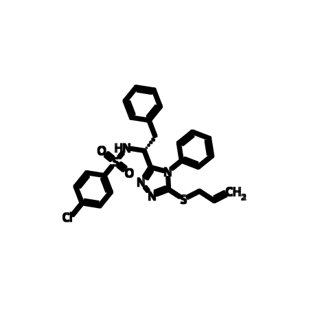 C=CCSc1nnc([C@@H](Cc2ccccc2)NS(=O)(=O)c2ccc(Cl)cc2)n1-c1ccccc1